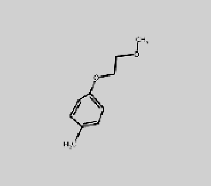 [CH2]c1ccc(OCCOC)cc1